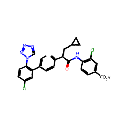 C=C(/C=C\C(=C/C)c1cc(Cl)ccc1-n1cnnn1)C(CC1CC1)C(=O)Nc1ccc(C(=O)O)cc1Cl